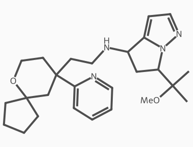 COC(C)(C)C1CC(NCCC2(c3ccccn3)CCOC3(CCCC3)C2)c2ccnn21